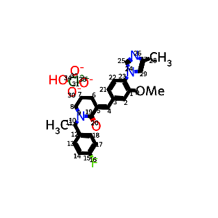 COc1cc(C=C2CCCN([C@@H](C)c3ccc(F)cc3)C2=O)ccc1-n1cnc(C)c1.[O-][Cl+3]([O-])([O-])O